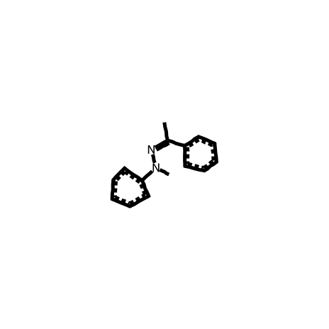 CC(=NN(C)c1ccccc1)c1ccccc1